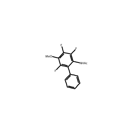 COc1c(F)c(F)c(NC(C)=O)c(-c2ccccc2)c1F